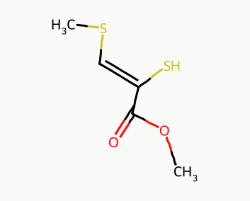 COC(=O)/C(S)=C/SC